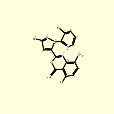 Cc1ccc(Cl)c2c(=O)oc(-c3cc(Br)nn3-c3ncccc3Cl)nc12